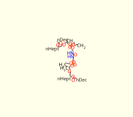 C=CCOP(=O)(OCCNC(=O)NCCOP(=O)(OCC=C)OC[C@H](C)COCC[C@@H](CCCCCCC)OC(=O)CCCCCCCCCCC)OC[C@H](C)COCC[C@@H](CCCCCCC)OC(=O)CCCCCCCCCCC